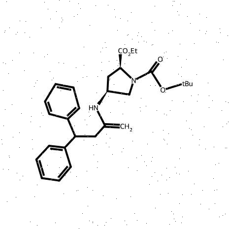 C=C(CC(c1ccccc1)c1ccccc1)N[C@H]1C[C@@H](C(=O)OCC)N(C(=O)OC(C)(C)C)C1